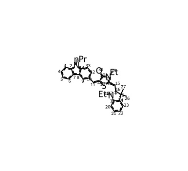 CCCn1c2ccccc2c2cc(/C=c3/s/c(=C\C4=[N+](CC)c5ccccc5C4(C)C)n(CC)c3=O)ccc21